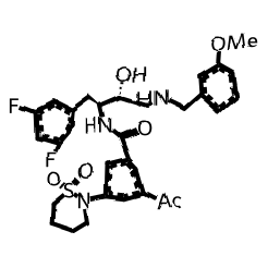 COc1cccc(CNC[C@@H](O)[C@H](Cc2cc(F)cc(F)c2)NC(=O)c2cc(C(C)=O)cc(N3CCCCS3(=O)=O)c2)c1